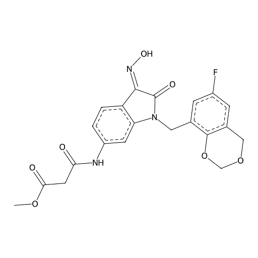 COC(=O)CC(=O)Nc1ccc2c(c1)N(Cc1cc(F)cc3c1OCOC3)C(=O)/C2=N\O